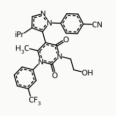 Cc1c(-c2c(C(C)C)cnn2-c2ccc(C#N)cc2)c(=O)n(CCO)c(=O)n1-c1cccc(C(F)(F)F)c1